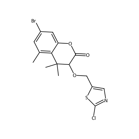 Cc1cc(Br)cc2c1C(C)(C)C(OCc1cnc(Cl)s1)C(=O)O2